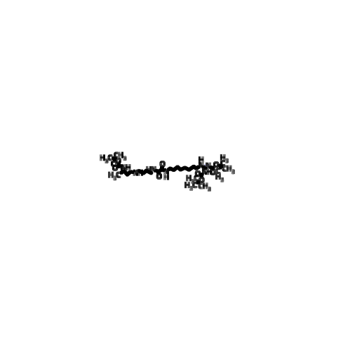 CC(CCNCCCCNC(=O)C(=O)NCCCCCCCCN/C(=N/C(=O)OC(C)(C)C)NC(=O)OC(C)(C)C)NC(=O)OC(C)(C)C